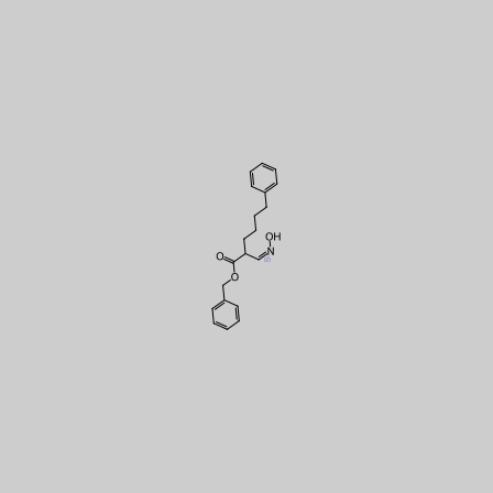 O=C(OCc1ccccc1)C(/C=N\O)CCCCc1ccccc1